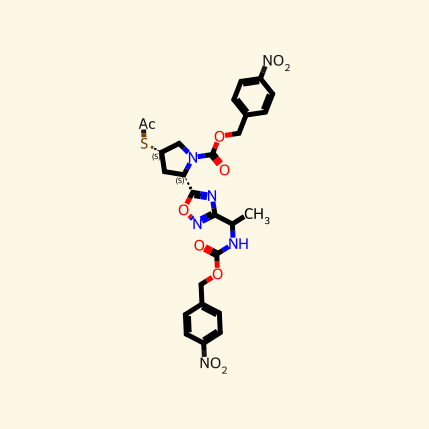 CC(=O)S[C@H]1C[C@@H](c2nc(C(C)NC(=O)OCc3ccc([N+](=O)[O-])cc3)no2)N(C(=O)OCc2ccc([N+](=O)[O-])cc2)C1